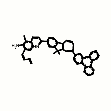 C=C/C=C\c1ccc(/C=C\C(=N)c2ccc3c(c2)C(C)(C)C2=C3C=CCC(c3ccc4c5ccccc5c5ccccc5c4c3)=C2)c(C)c1N